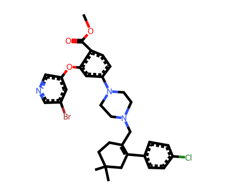 COC(=O)c1ccc(N2CCN(CC3=C(c4ccc(Cl)cc4)CC(C)(C)CC3)CC2)cc1Oc1cncc(Br)c1